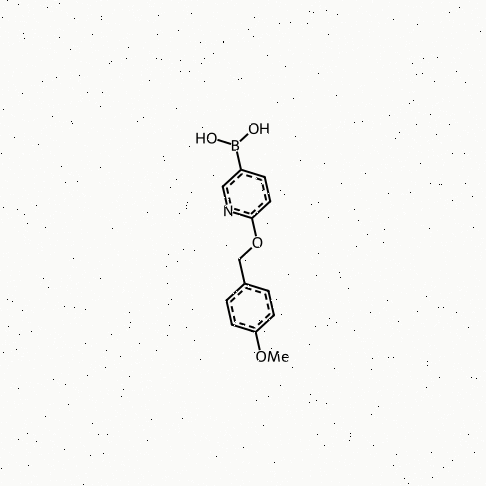 COc1ccc(COc2ccc(B(O)O)cn2)cc1